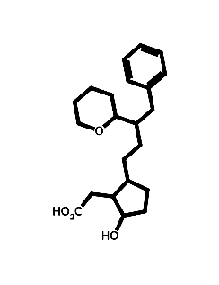 O=C(O)CC1C(O)CCC1CCC(Cc1ccccc1)C1CCCCO1